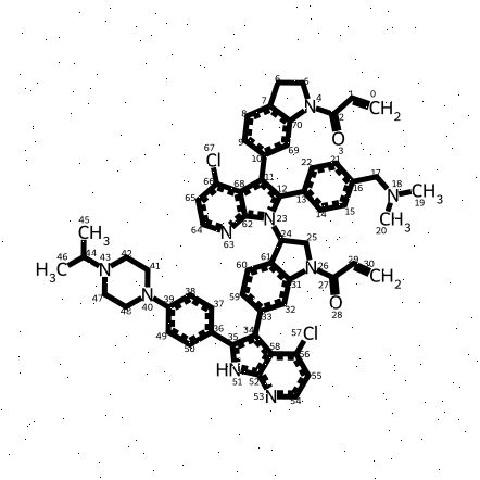 C=CC(=O)N1CCc2ccc(-c3c(-c4ccc(CN(C)C)cc4)n(C4CN(C(=O)C=C)c5cc(-c6c(-c7ccc(N8CCN(C(C)C)CC8)cc7)[nH]c7nccc(Cl)c67)ccc54)c4nccc(Cl)c34)cc21